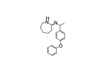 CC(N=C1CCCCCN1)c1ccc(Oc2ccccc2)cc1